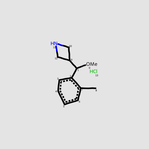 COC(c1ccccc1C)C1CNC1.Cl